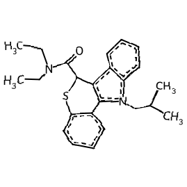 CCN(CC)C(=O)C1Sc2ccccc2-c2c1c1ccccc1n2CC(C)C